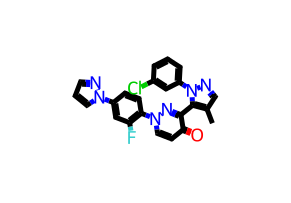 Cc1cnn(-c2cccc(Cl)c2)c1-c1nn(-c2ccc(-n3cccn3)cc2F)ccc1=O